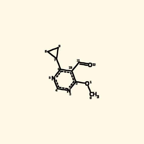 COc1ncnc(C2CC2)c1C=O